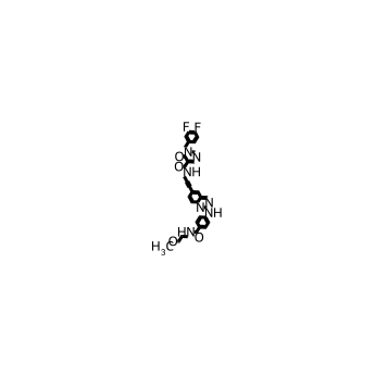 COCCCNC(=O)c1ccc(Nc2ncc3cc(C#CCNC(=O)c4cncn(Cc5ccc(F)c(F)c5)c4=O)ccc3n2)cc1